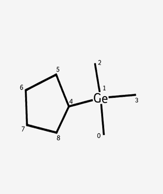 [CH3][Ge]([CH3])([CH3])[CH]1CCCC1